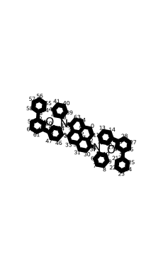 C1=CC2=C(N(c3ccccc3)c3cccc4c3oc3c(-c5ccccc5)cccc34)C=CC3=CC=C4C(N(c5ccccc5)c5cccc6c5oc5c(-c7ccccc7)cccc56)=CC=C1C4C32